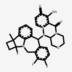 CC12CCC1(F)N1Cc3c(ccc(F)c3F)C(N3C4COCCN4C(=O)c4c(O)c(=O)ccn43)c3cccc2c31